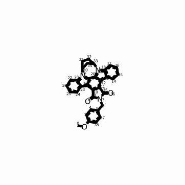 COc1ccc(CN2C(=O)c3c(c4c5ccccc5n5c4c4c3c3ccccc3n4C3CCC5C3)C2=O)cc1